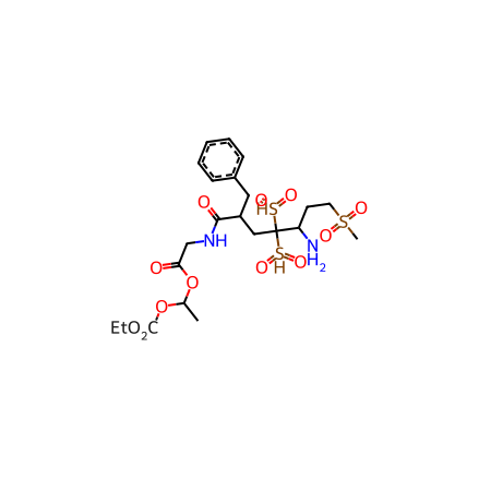 CCOC(=O)OC(C)OC(=O)CNC(=O)C(Cc1ccccc1)CC(C(N)CCS(C)(=O)=O)([SH](=O)=O)[SH](=O)=O